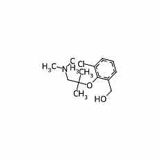 CN(C)CC(C)(C)Oc1c(Cl)cccc1CO